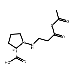 CC(=O)SC(=O)CCNN1CCC[C@H]1C(=O)O